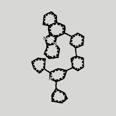 c1ccc(-c2cc(-c3cccc(-c4cccc(-c5cc6ccccc6c6nc7ccccn7c56)c4)c3)cc(-c3ccccc3)n2)cc1